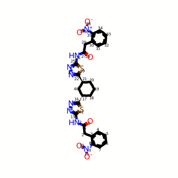 O=C(Cc1ccccc1[N+](=O)[O-])Nc1nnc([C@H]2CCC[C@H](c3nnc(NC(=O)Cc4ccccc4[N+](=O)[O-])s3)C2)s1